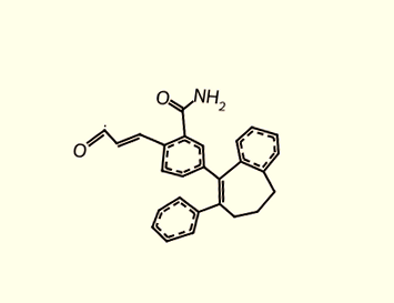 NC(=O)c1cc(C2=C(c3ccccc3)CCCc3ccccc32)ccc1C=C[C]=O